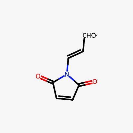 O=[C]C=CN1C(=O)C=CC1=O